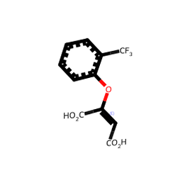 O=C(O)/C=C(/Oc1ccccc1C(F)(F)F)C(=O)O